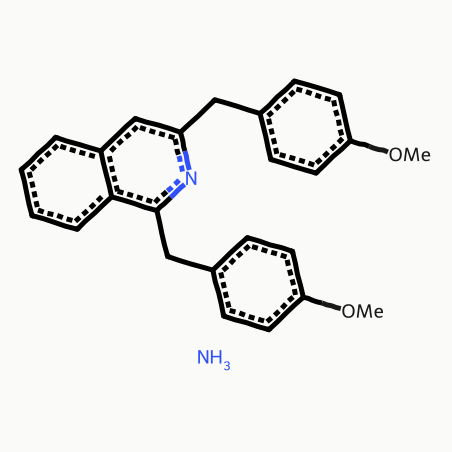 COc1ccc(Cc2cc3ccccc3c(Cc3ccc(OC)cc3)n2)cc1.N